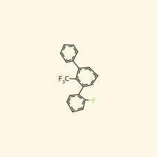 Fc1ccccc1-c1[c]ccc(-c2ccccc2)c1C(F)(F)F